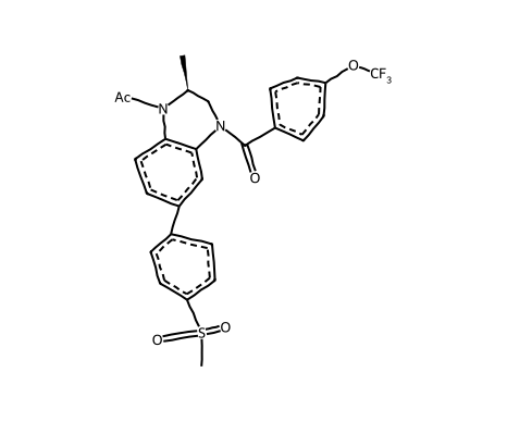 CC(=O)N1c2ccc(-c3ccc(S(C)(=O)=O)cc3)cc2N(C(=O)c2ccc(OC(F)(F)F)cc2)C[C@@H]1C